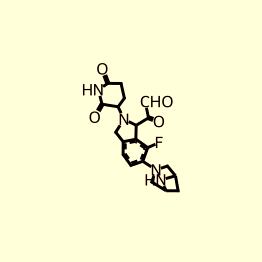 O=CC(=O)C1c2c(ccc(N3CC4CC(C3)N4)c2F)CN1C1CCC(=O)NC1=O